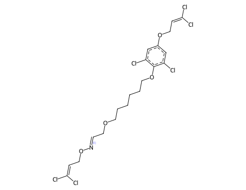 ClC(Cl)=CCO/N=C/COCCCCCCOc1c(Cl)cc(OCC=C(Cl)Cl)cc1Cl